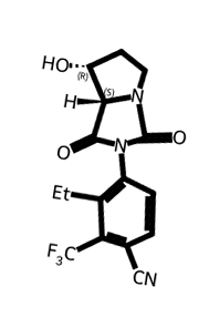 CCc1c(N2C(=O)[C@@H]3[C@H](O)CCN3C2=O)ccc(C#N)c1C(F)(F)F